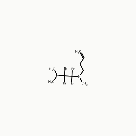 C=CCCN(C)C(Br)(Br)C(Br)(Br)N(C)C